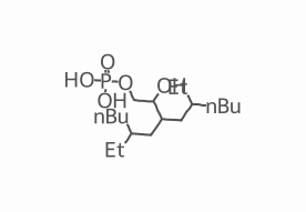 CCCCC(CC)CC(CC(CC)CCCC)C(O)COP(=O)(O)O